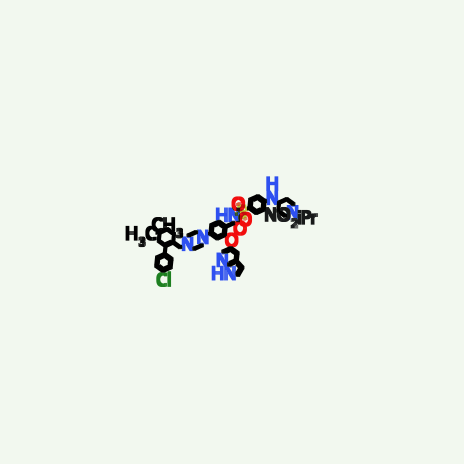 CC(C)N1CCC(Nc2ccc(S(=O)(=O)NC(=O)c3ccc(N4CCN(CC5=C(c6ccc(Cl)cc6)CC(C)(C)CC5)CC4)cc3Oc3cnc4[nH]ccc4c3)cc2[N+](=O)[O-])CC1